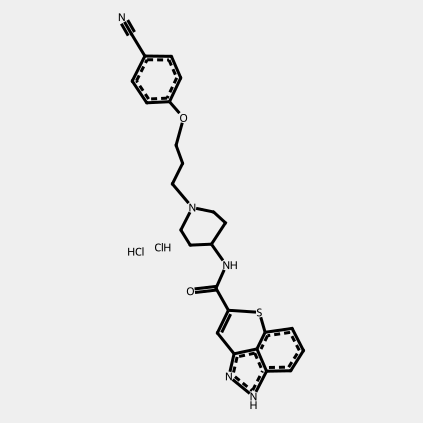 Cl.Cl.N#Cc1ccc(OCCCN2CCC(NC(=O)C3=Cc4n[nH]c5cccc(c45)S3)CC2)cc1